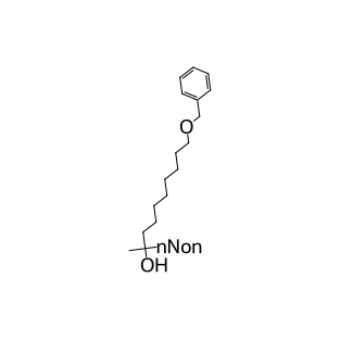 CCCCCCCCCC(C)(O)CCCCCCCCOCc1ccccc1